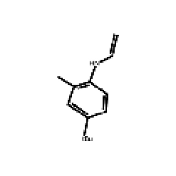 C=CNc1ccc(C(C)(C)C)cc1C